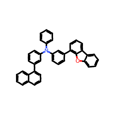 c1ccc(N(c2cccc(-c3cccc4ccccc34)c2)c2cccc(-c3cccc4c3oc3ccccc34)c2)cc1